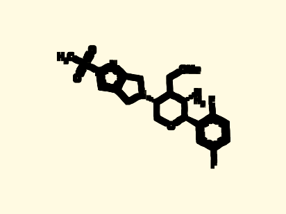 COCC1[C@H](N)[C@@H](c2cc(F)ccc2F)OC[C@@H]1N1Cc2cn(S(C)(=O)=O)nc2C1